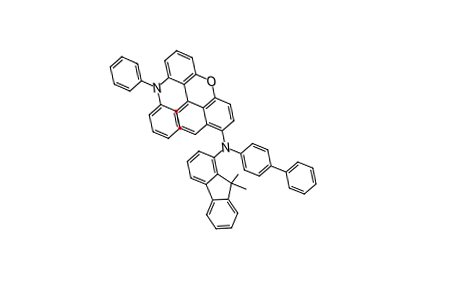 CC1(C)c2ccccc2-c2cccc(N(c3ccc(-c4ccccc4)cc3)c3ccc4c5c(cccc35)-c3c(cccc3N(c3ccccc3)c3ccccc3)O4)c21